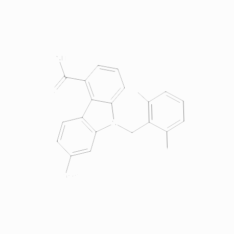 CCCCCc1c[c]c2c3c(C(N)=O)cccc3n(Cc3c(F)cccc3F)c2c1